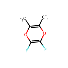 FC1=C(F)OC(C(F)(F)F)=C(C(F)(F)F)O1